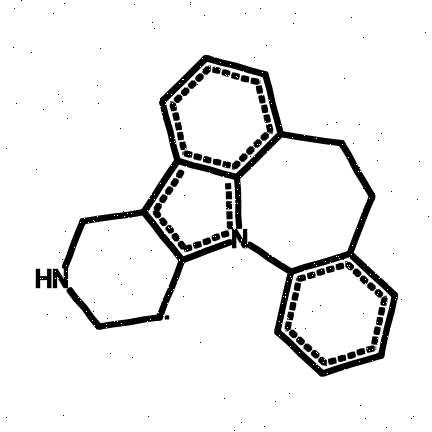 [CH]1CNCc2c1n1c3c(cccc23)CCc2ccccc2-1